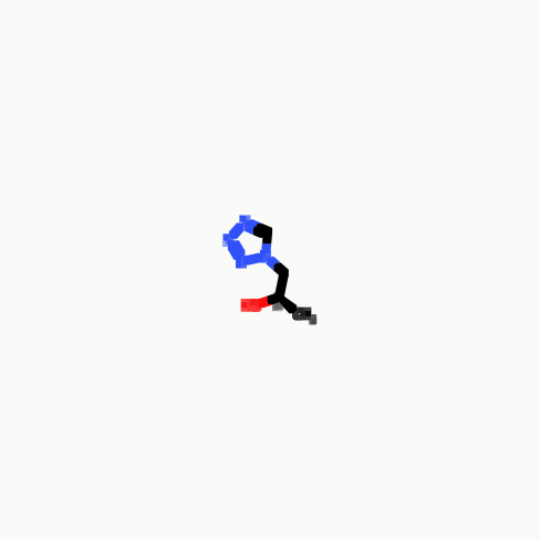 C[C@@H](O)Cn1cnnn1